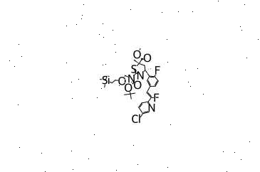 COC(=O)[C@]1(C)C[C@@](C)(c2cc(/C=C(\F)c3ccc(Cl)cn3)ccc2F)N=C(N(COCC[Si](C)(C)C)C(=O)OC(C)(C)C)S1